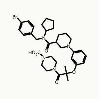 CC(C)(Oc1cccc(N2CCCC(C(=O)N(Cc3ccc(Br)cc3)C3CCCC3)C2)c1)C(=O)N1CCN(C(=O)O)CC1